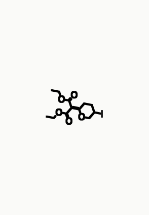 CCOC(=O)C(C(=O)OCC)=C1CCC(I)CO1